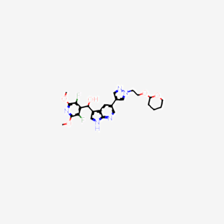 COc1nc(OC)c(F)c(C(O)c2c[nH]c3ncc(-c4cnn(CCOC5CCCCO5)c4)cc23)c1F